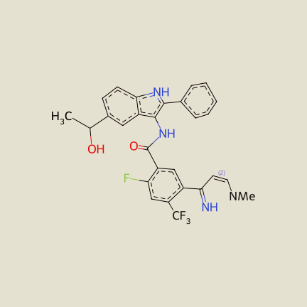 CN/C=C\C(=N)c1cc(C(=O)Nc2c(-c3ccccc3)[nH]c3ccc(C(C)O)cc23)c(F)cc1C(F)(F)F